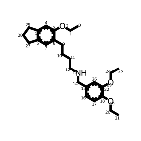 CCOc1cc2c(cc1CCCCNCc1ccc(OCC)c(OCC)c1)CCC2